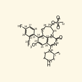 C[C@H]1CNCCN1c1nc(=O)n2c3c(c(-c4ccc(F)cc4F)c(C(F)(F)F)cc13)SC[C@@H](OS(C)(=O)=O)C2